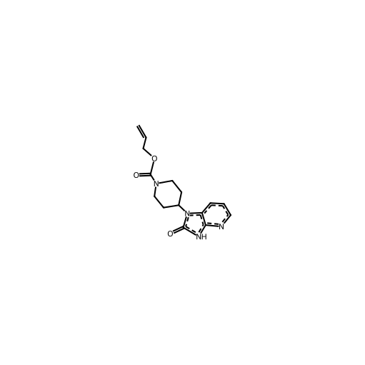 C=CCOC(=O)N1CCC(n2c(=O)[nH]c3ncccc32)CC1